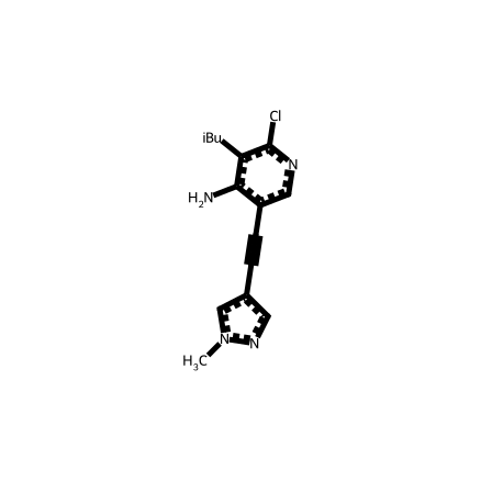 CCC(C)c1c(Cl)ncc(C#Cc2cnn(C)c2)c1N